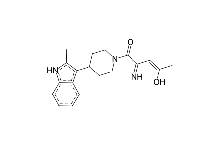 C/C(O)=C/C(=N)C(=O)N1CCC(c2c(C)[nH]c3ccccc23)CC1